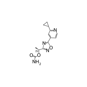 C[C@H](OC(N)=O)c1noc(-c2ccnc(C3CC3)c2)n1